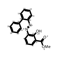 COC(=O)c1cccc(N=Nc2ccccc2-c2ccccc2)c1O